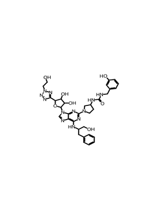 O=C(NCc1cccc(O)c1)NC1CCN(c2nc(NC(CO)Cc3ccccc3)c3ncn(C4OC(c5nnn(CCO)n5)C(O)C4O)c3n2)C1